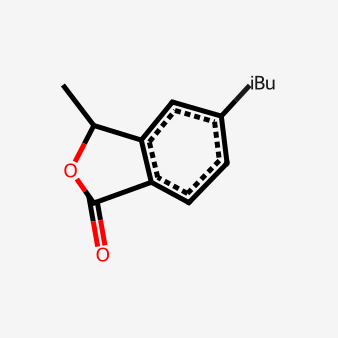 CCC(C)c1ccc2c(c1)C(C)OC2=O